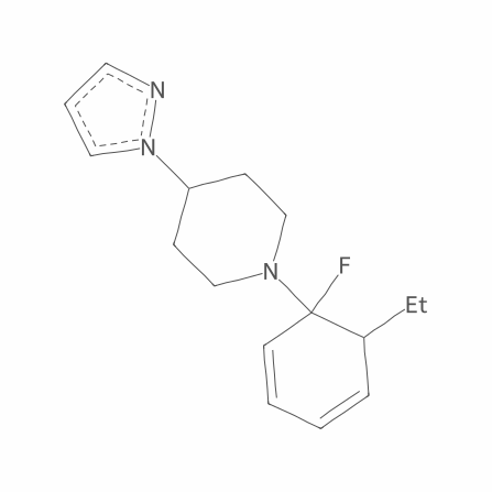 CCC1C=CC=CC1(F)N1CCC(n2cccn2)CC1